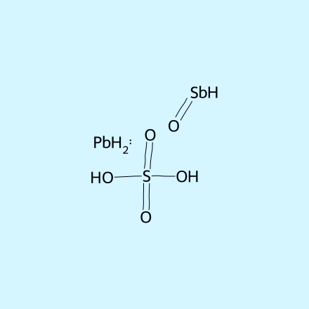 O=S(=O)(O)O.[O]=[SbH].[PbH2]